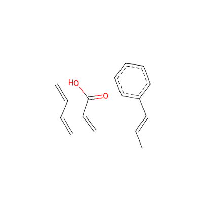 C=CC(=O)O.C=CC=C.CC=Cc1ccccc1